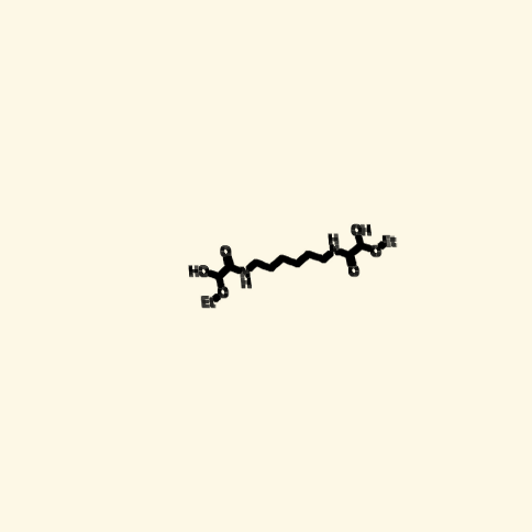 CCOC(O)C(=O)NCCCCCCNC(=O)C(O)OCC